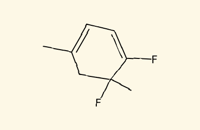 CC1=CC=C(F)C(C)(F)C1